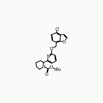 CC(C)(C)OC(=O)N1CCCCC1c1cccc(OCc2ccc(Cl)c3ccoc23)n1